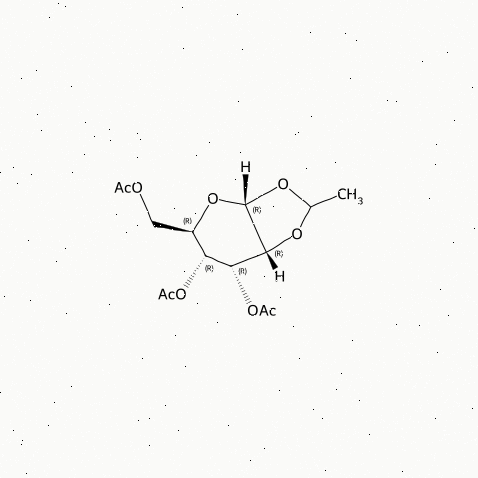 CC(=O)OC[C@H]1O[C@@H]2OC(C)O[C@@H]2[C@H](OC(C)=O)[C@@H]1OC(C)=O